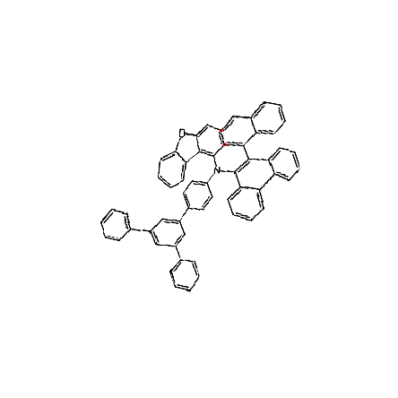 c1ccc(-c2cc(-c3ccccc3)cc(-c3ccc(N(c4c(-c5cccc6ccccc56)c5ccccc5c5ccccc45)c4cccc5oc6ccccc6c45)cc3)c2)cc1